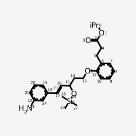 CC(C)OC(=O)CCc1ccccc1OCCC(/C=C/c1cccc(N)c1)O[Si](C)(C)C